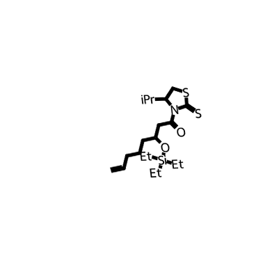 C=CCCCC(CC(=O)N1C(=S)SCC1C(C)C)O[Si](CC)(CC)CC